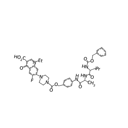 CCn1cc(C(=O)O)c(=O)c2cc(F)c(N3CCN(C(=O)OCc4ccc(NC(=O)C(C)NC(=O)C(NC(=O)OCc5ccccc5)C(C)C)cc4)CC3)cc21